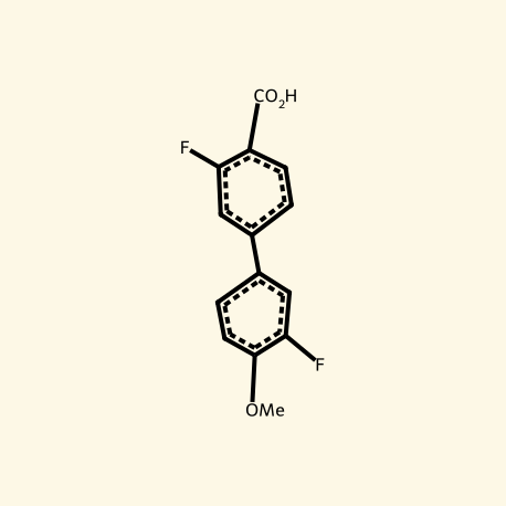 COc1ccc(-c2ccc(C(=O)O)c(F)c2)cc1F